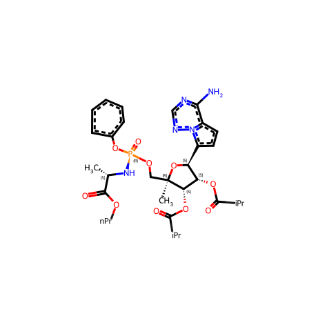 CCCOC(=O)[C@H](C)N[P@@](=O)(OC[C@@]1(C)O[C@@H](c2ccc3c(N)ncnn23)[C@H](OC(=O)C(C)C)[C@@H]1OC(=O)C(C)C)Oc1ccccc1